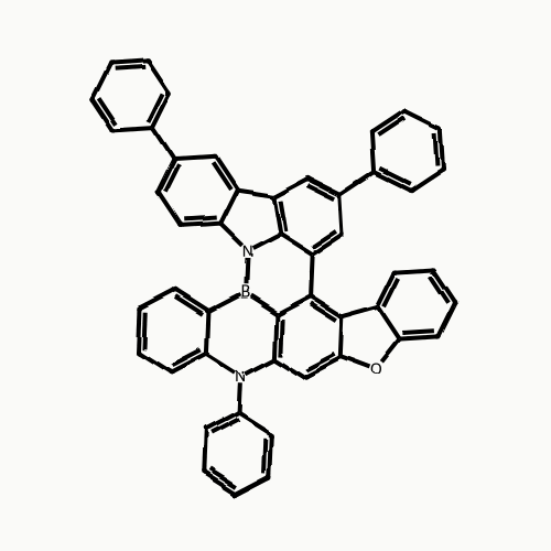 c1ccc(-c2ccc3c(c2)c2cc(-c4ccccc4)cc4c2n3B2c3ccccc3N(c3ccccc3)c3cc5oc6ccccc6c5c-4c32)cc1